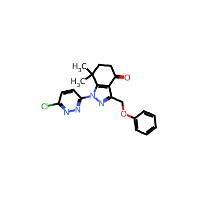 CC1(C)CCC(=O)c2c(COc3ccccc3)nn(-c3ccc(Cl)nn3)c21